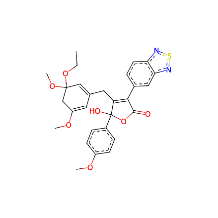 CCOC1(OC)C=C(CC2=C(c3ccc4nsnc4c3)C(=O)OC2(O)c2ccc(OC)cc2)C=C(OC)C1